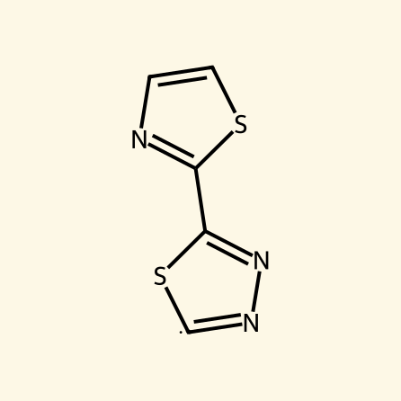 [c]1nnc(-c2nccs2)s1